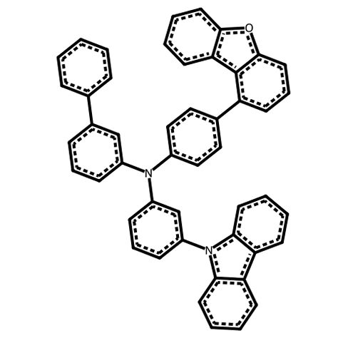 c1ccc(-c2cccc(N(c3ccc(-c4cccc5oc6ccccc6c45)cc3)c3cccc(-n4c5ccccc5c5ccccc54)c3)c2)cc1